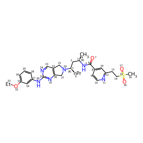 CCC[C@H](C[C@@H](C)NC(=O)c1ccnc(CCS(C)(=O)=O)c1)N1Cc2cnc(Nc3cccc(OCC)c3)nc2C1